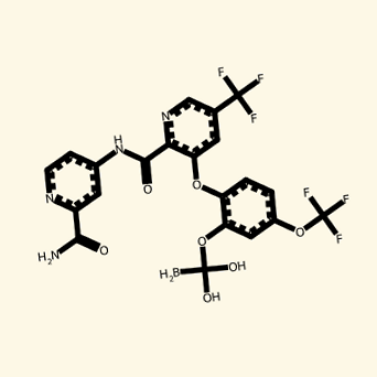 BC(O)(O)Oc1cc(OC(F)(F)F)ccc1Oc1cc(C(F)(F)F)cnc1C(=O)Nc1ccnc(C(N)=O)c1